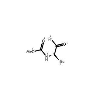 CC[C@H](C)[C@H](NC(=O)OC)C(=O)C(C)C